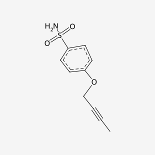 CC#CCOc1ccc(S(N)(=O)=O)cc1